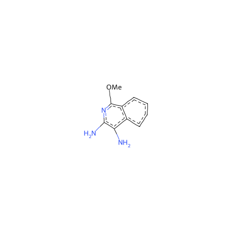 COc1nc(N)c(N)c2ccccc12